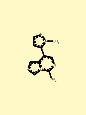 Cn1nccc1-c1cnc(N)n2cncc12